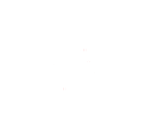 O=C1c2c(O)ccc(Sc3ccccc3)c2C(=O)c2c(O)ccc(Sc3ccccc3)c21